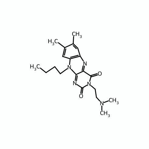 CCCCn1c2nc(=O)n(CCN(C)C)c(=O)c-2nc2cc(C)c(C)cc21